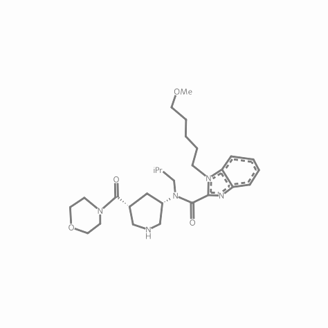 COCCCCCn1c(C(=O)N(CC(C)C)[C@@H]2CNC[C@H](C(=O)N3CCOCC3)C2)nc2ccccc21